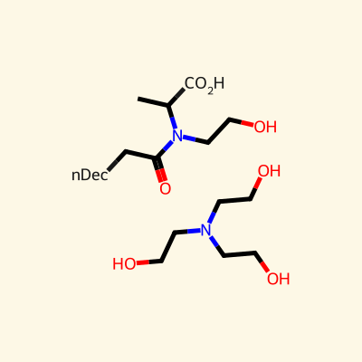 CCCCCCCCCCCC(=O)N(CCO)C(C)C(=O)O.OCCN(CCO)CCO